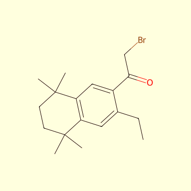 CCc1cc2c(cc1C(=O)CBr)C(C)(C)CCC2(C)C